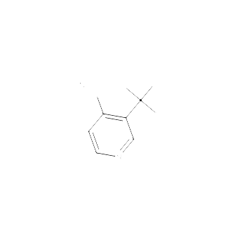 FC(F)(F)c1cnccc1S.[Na]